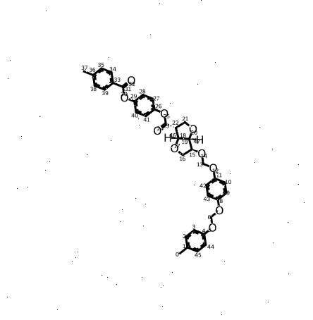 Cc1ccc(OCOc2ccc(OCO[C@H]3CO[C@H]4[C@@H]3OC[C@H]4C(=O)Oc3ccc(OC(=O)c4ccc(C)cc4)cc3)cc2)cc1